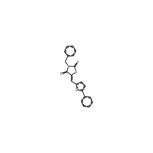 O=C1C(=Cc2ccc(-c3ccccc3)o2)SC(=S)N1Cc1ccccc1